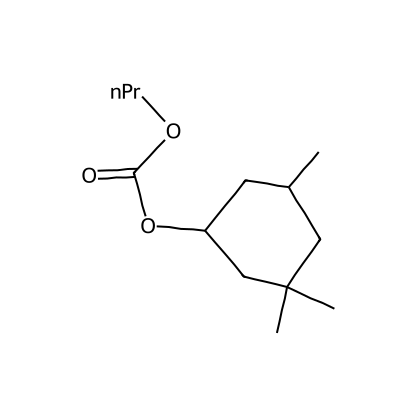 CCCOC(=O)OC1CC(C)CC(C)(C)C1